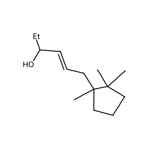 CCC(O)/C=C/CC1(C)CCCC1(C)C